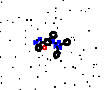 c1ccc(-c2nc(-c3ccccc3)nc(-n3c4ccccc4c4cc5c(cc43)Oc3cccc4ncnc-5c34)n2)cc1